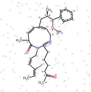 C/C=C(F)\C=C/CN1C(=O)C(C)/C=C\C(C[C@@H](C)C(ON)c2ccccc2)=C/C/N=C\1CCCCC(C)=O